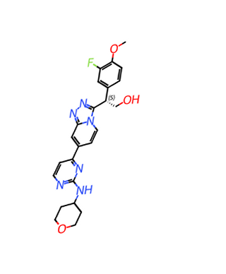 COc1ccc([C@H](CO)c2nnc3cc(-c4ccnc(NC5CCOCC5)n4)ccn23)cc1F